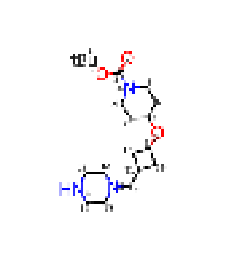 CC(C)(C)OC(=O)N1CCC(OC2CC(CN3CCNCC3)C2)CC1